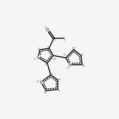 CC(=O)c1csc(-c2cccs2)c1-c1cccs1